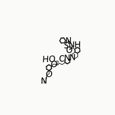 CN(C)CCOc1cccc(OCCCc2ccc(N3CCc4cccc(C(=O)Nc5nc6ccccc6s5)c4C3)nc2C(=O)O)c1